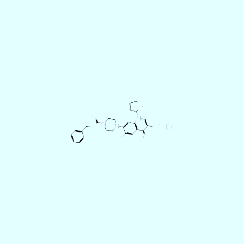 CCOC(=O)c1cn(C2CCCO2)c2cc(N3CCN(C(=O)OCc4ccccc4)CC3)c(F)cc2c1=O